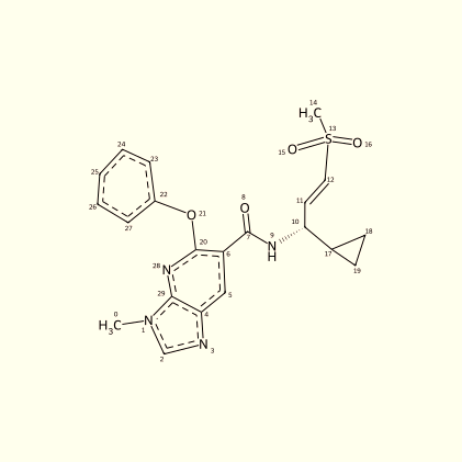 Cn1cnc2cc(C(=O)N[C@H](/C=C/S(C)(=O)=O)C3CC3)c(Oc3ccccc3)nc21